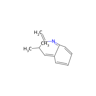 C=C/N=C1/C=CC=C/C1=C/C(C)C